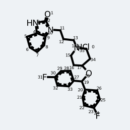 Cl.O=c1[nH]c2ccccc2n1CCCN1CCC(OC(c2ccc(F)cc2)c2ccc(F)cc2)CC1